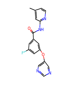 Cc1ccnc(NC(=O)c2cc(F)cc(Oc3cncnc3)c2)c1